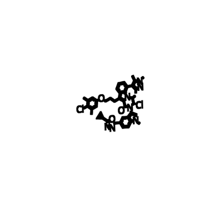 Cc1cc(OCCCc2c3n(c4c(-c5c(C)nn(C)c5C)cccc24)C(C)[C@@H](Cl)N(c2cn(C)c4ccc(-c5nnc(C6CC6)o5)cc24)C3=O)cc(C)c1Cl